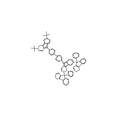 CC(C)(C)c1ccc2c(c1)c1c(n2-c2ccc(-c3ccc(-n4c5c(c6cc(C7(c8ccccc8)C8=C(CCC=C8)c8ccccc87)ccc64)CC(C4(c6ccccc6)C6=C(CCC=C6)c6ccccc64)C=C5)cc3)cc2)C=CC(C(C)(C)C)C1